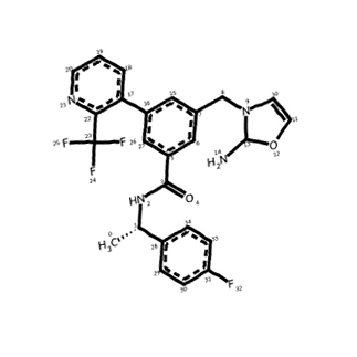 C[C@H](NC(=O)c1cc(CN2C=COC2N)cc(-c2cccnc2C(F)(F)F)c1)c1ccc(F)cc1